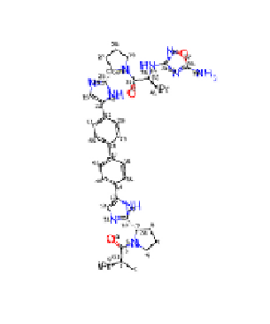 CC(C)[C@H](C)C(=O)N1CCC[C@H]1c1ncc(-c2ccc(-c3ccc(-c4cnc([C@@H]5CCCN5C(=O)[C@@H](Nc5noc(N)n5)C(C)C)[nH]4)cc3)cc2)[nH]1